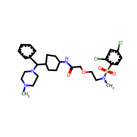 CN1CCN(C(c2ccccc2)C2CCC(NC(=O)COCCN(C)S(=O)(=O)c3ccc(Cl)cc3Cl)CC2)CC1